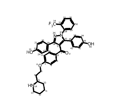 O=C(c1ccc(OCCC2CCCCN2)cc1)c1c(-c2ccc(O)cc2)nn(-c2ccccc2C(F)(F)F)c1-c1ccc(O)cc1